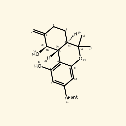 C=C1CC[C@@H]2[C@H](c3c(O)cc(CCCCC)cc3OC2(C)C)[C@H]1O